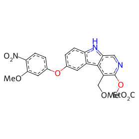 CCOC(=O)Oc1ncc2[nH]c3ccc(Oc4ccc([N+](=O)[O-])c(OC)c4)cc3c2c1COC